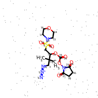 CC(C)(CN=[N+]=[N-])C(CS(=O)(=O)N1CCOCC1)OC(=O)ON1C(=O)CCC1=O